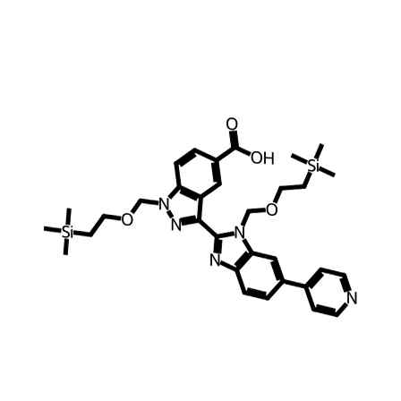 C[Si](C)(C)CCOCn1nc(-c2nc3ccc(-c4ccncc4)cc3n2COCC[Si](C)(C)C)c2cc(C(=O)O)ccc21